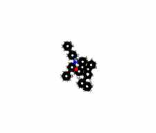 C1=CC2c3ccccc3C3(c4ccccc4-c4c(N(c5ccc(-c6ccccc6)cc5)c5ccc(-c6ccccc6)cc5)cccc43)C2C=C1c1cccc2ccccc12